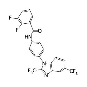 O=C(Nc1ccc(-n2c(C(F)(F)F)nc3cc(C(F)(F)F)ccc32)cc1)c1cccc(F)c1F